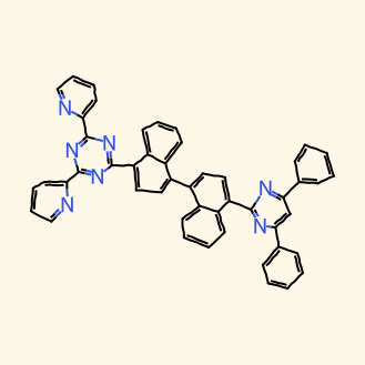 c1ccc(-c2cc(-c3ccccc3)nc(-c3ccc(-c4ccc(-c5nc(-c6ccccn6)nc(-c6ccccn6)n5)c5ccccc45)c4ccccc34)n2)cc1